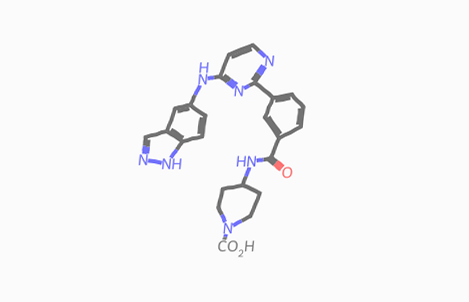 O=C(NC1CCN(C(=O)O)CC1)c1cccc(-c2nccc(Nc3ccc4[nH]ncc4c3)n2)c1